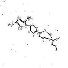 CCCC(=N)C1CCN(c2ccc(-n3nc(N)nc3N)cn2)CC1